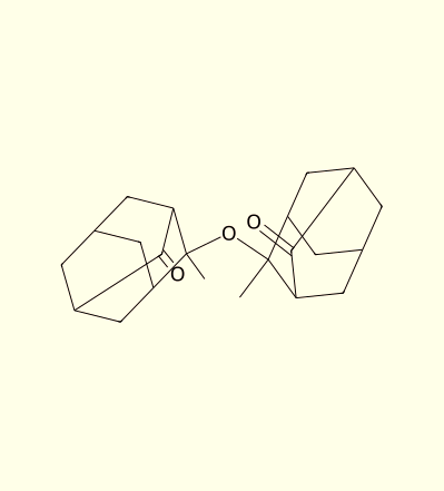 CC1(OC2(C)C3CC4CC(C3)C(=O)C2C4)C2CC3CC(C2)C(=O)C1C3